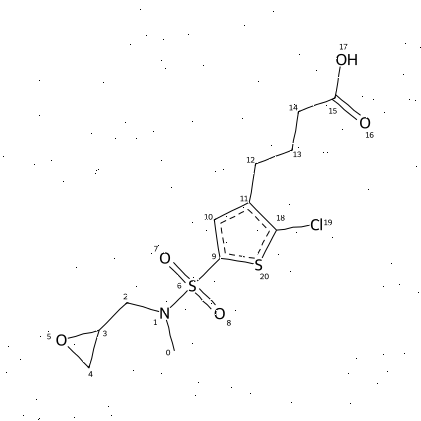 CN(CC1CO1)S(=O)(=O)c1cc(CCCC(=O)O)c(Cl)s1